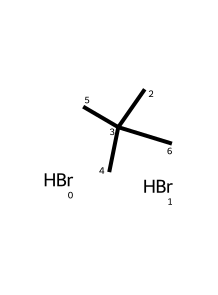 Br.Br.CC(C)(C)C